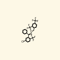 FC(F)(F)c1ccc(CO/N=C(\c2ccccc2)c2cc(Cl)ccc2C(F)(F)F)c(C(F)(F)F)c1